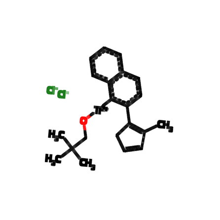 CC1=C(c2ccc3ccccc3[c]2[Ti+2][O]CC(C)(C)C)CC=C1.[Cl-].[Cl-]